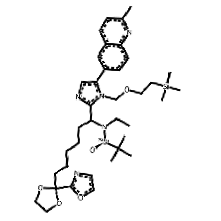 CCN(C(CCCCCC1(c2ncco2)OCCO1)c1ncc(-c2ccc3nc(C)ccc3c2)n1COCC[Si](C)(C)C)[S@+]([O-])C(C)(C)C